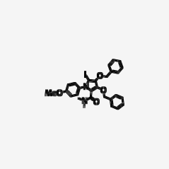 COc1ccc(-n2c(I)c(OCc3ccccc3)c(OCc3ccccc3)c2C(=O)N(C)C)cc1